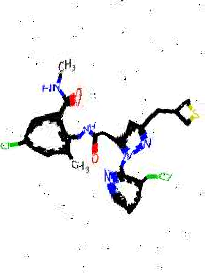 CNC(=O)c1cc(Cl)cc(C)c1NC(=O)c1cc(CC2CSC2)nn1-c1ncccc1Cl